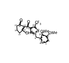 COc1ccnc(Cn2cc(C(=O)C3=C(O)CCCC3=O)c(C(F)(F)F)n2)c1OC